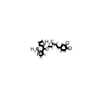 CN(CCOC(c1cccs1)c1ccnn1C)CCc1ccc(Cl)c(Cl)c1